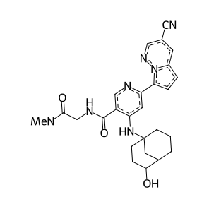 CNC(=O)CNC(=O)c1cnc(-c2ccc3cc(C#N)cnn23)cc1NC12CCCC(C1)C(O)CC2